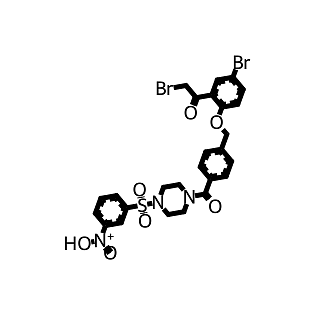 O=C(CBr)c1cc(Br)ccc1OCc1ccc(C(=O)N2CCN(S(=O)(=O)c3cccc([N+](=O)O)c3)CC2)cc1